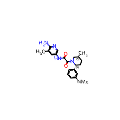 CNc1cccc([C@H]2CC[C@H](C)CN2C(=O)C(=O)Nc2cnc(N)c(C)c2)c1